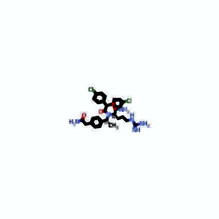 C[C@H](c1ccc(CC(N)=O)cc1)N(C(=O)C(c1ccc(Cl)cc1)c1ccc(Cl)cc1)[C@H](CCCNC(=N)N)C(N)=O